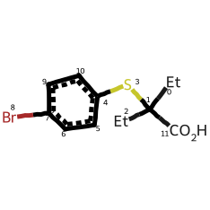 CCC(CC)(Sc1ccc(Br)cc1)C(=O)O